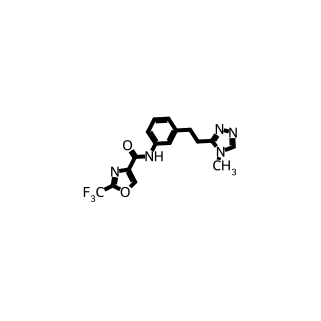 Cn1cnnc1CCc1cccc(NC(=O)c2coc(C(F)(F)F)n2)c1